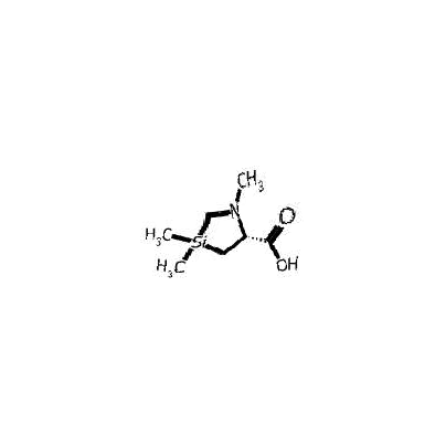 CN1C[Si](C)(C)C[C@H]1C(=O)O